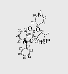 CN1CCC(OC(=O)C(OC(=O)c2ccccc2)(c2ccccc2)C2CCCC2)CC1.Cl